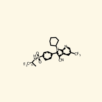 C[C@H](NS(=O)(=O)c1ccc(-c2c(C#N)c3cc(C(F)(F)F)cnc3n2C2CCCCC2)cc1)C(F)(F)F